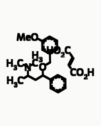 COc1cccc(COC(CC(C)N(C)C)c2ccccc2)c1.O=C(O)C=CC(=O)O